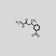 CC(CC(=O)NN)c1cccc([N+](=O)[O-])c1